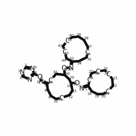 c1ncnc(ON=C2CCCCCCC(ON=C3CCCCCCCCCCC3)CC(ON=C3CCCCCCCCCCC3)CC2)n1